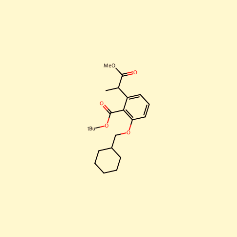 COC(=O)C(C)c1cccc(OCC2CCCCC2)c1C(=O)OC(C)(C)C